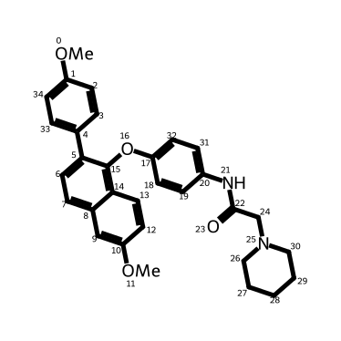 COc1ccc(-c2ccc3cc(OC)ccc3c2Oc2ccc(NC(=O)CN3CCCCC3)cc2)cc1